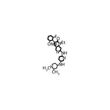 CCn1c(=O)c(-c2c(F)cccc2OC)cc2cnc(Nc3ccc(NC4CCN(C)C(C)C4)cn3)cc21